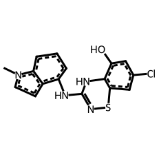 Cn1ccc2c(NC3=NSc4cc(Cl)cc(O)c4N3)cccc21